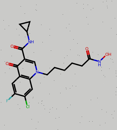 O=C(CCCCCn1cc(C(=O)NC2CC2)c(=O)c2cc(F)c(Cl)cc21)NO